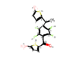 Bc1ccc(C(=C)c2c(F)c(F)c(C(=O)c3ccc(B)s3)c(F)c2F)s1